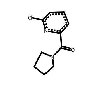 O=C(c1cccc(Cl)n1)N1CCCC1